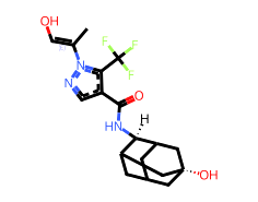 C/C(=C\O)n1ncc(C(=O)N[C@H]2C3CC4CC2C[C@](O)(C4)C3)c1C(F)(F)F